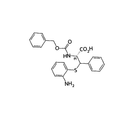 Nc1ccccc1SC(c1ccccc1)[C@H](NC(=O)OCc1ccccc1)C(=O)O